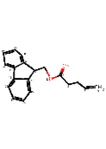 C=CCCC(=O)OCC1c2ccccc2-c2ccccc21